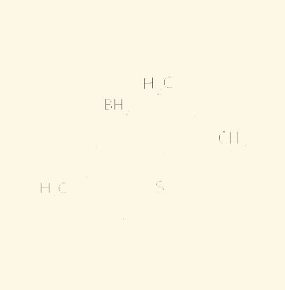 Bc1c(C)csc1C(=C)C